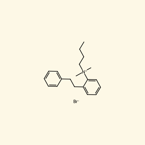 CCCC[N+](C)(C)c1ccccc1CCc1ccccc1.[Br-]